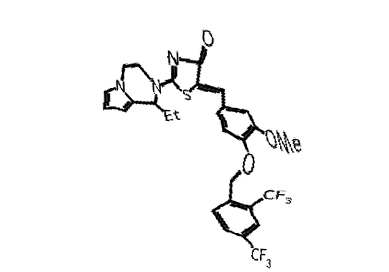 CCC1c2cccn2CCN1C1=NC(=O)C(=Cc2ccc(OCc3ccc(C(F)(F)F)cc3C(F)(F)F)c(OC)c2)S1